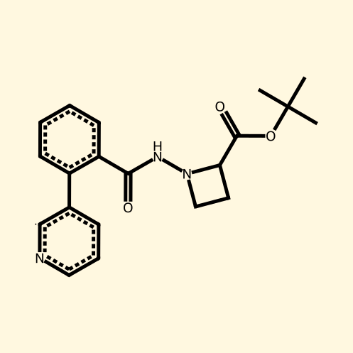 CC(C)(C)OC(=O)C1CCN1NC(=O)c1ccccc1-c1[c]nccc1